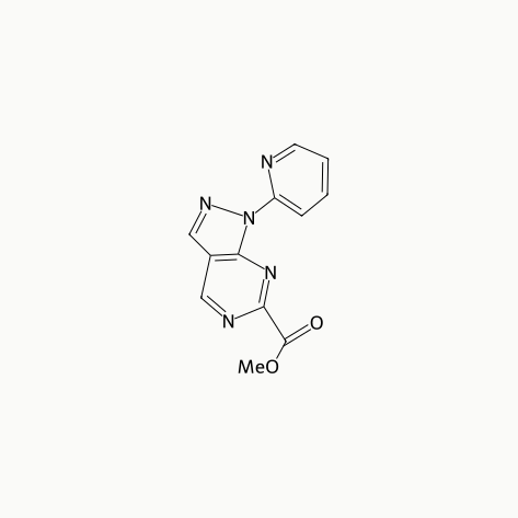 COC(=O)c1ncc2cnn(-c3ccccn3)c2n1